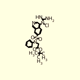 CC(C)(C)OC(=O)CN(c1ccccc1)S(=O)(=O)c1ccc2c(N(Cl)C(=N)N)cncc2c1